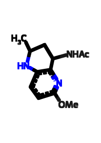 COc1ccc2c(n1)C(NC(C)=O)CC(C)N2